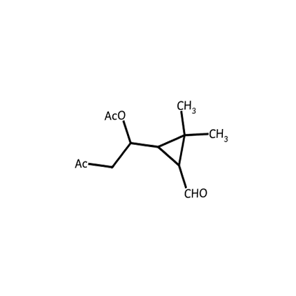 CC(=O)CC(OC(C)=O)C1C(C=O)C1(C)C